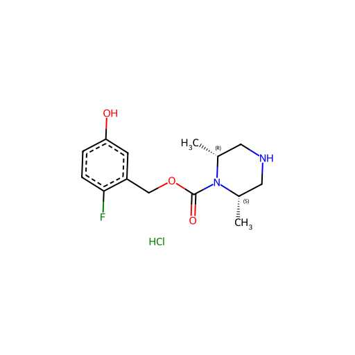 C[C@@H]1CNC[C@H](C)N1C(=O)OCc1cc(O)ccc1F.Cl